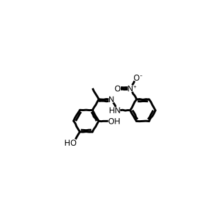 CC(=NNc1ccccc1[N+](=O)[O-])c1ccc(O)cc1O